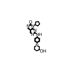 O=c1ncc2cnc(Nc3ccc(N4CCCC(O)C4)cc3)nc2n1C1CCCC1